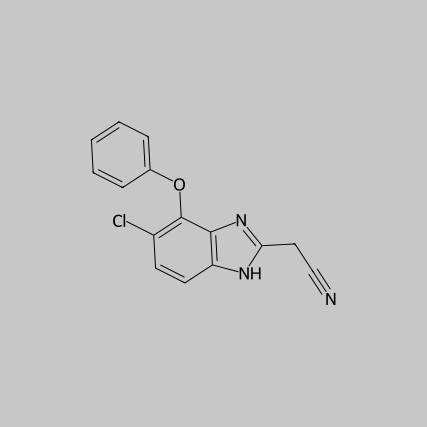 N#CCc1nc2c(Oc3ccccc3)c(Cl)ccc2[nH]1